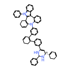 C1=CCCC([C@H]2C=C(c3cccc(C4=C(c5cccc(N6C7=C(CCC=C7)c7c(c8ccccc8n7-c7ccccc7)-c7ccccc76)c5)C=CCC4)c3)NC(c3ccccc3)N2)=C1